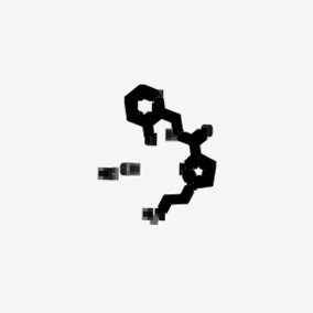 Cl.Cl.NCCn1ccc(C(=O)NCc2ncccc2Cl)n1